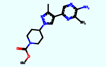 Bc1nc(-c2cn(C3CCN(C(=O)OC(C)(C)C)CC3)nc2C)cnc1N